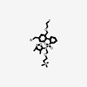 Cc1noc(N(COCC[Si](C)(C)C)S(=O)(=O)c2ccccc2-c2ccc(CBr)cc2COCCF)c1C